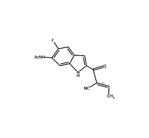 C/C=C(\C#N)C(=O)c1cc2cc(F)c(NC(C)=O)cc2[nH]1